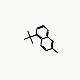 Cc1cnc2c(C(C)(C)C)ccnc2c1